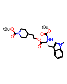 Cn1cc(C[C@@H](NC(=O)OC(C)(C)C)C(=O)OCCC2CCN(C(=O)OC(C)(C)C)CC2)c2ccccc21